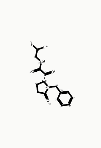 O=C(NCC(F)F)C(=O)[C@H]1CCC(=O)N1Cc1ccccc1